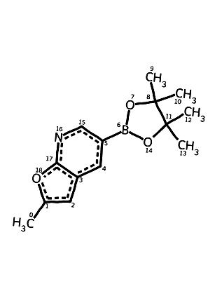 Cc1cc2cc(B3OC(C)(C)C(C)(C)O3)cnc2o1